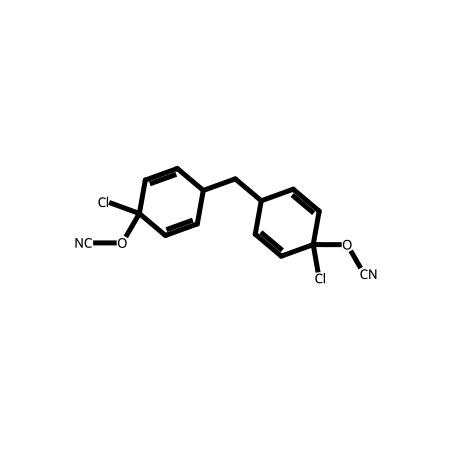 N#COC1(Cl)C=CC(CC2C=CC(Cl)(OC#N)C=C2)C=C1